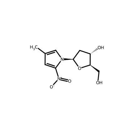 Cc1cc([N+](=O)[O-])n([C@H]2C[C@H](O)[C@@H](CO)O2)c1